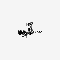 CCNCCCNc1cc(OC)ccc1CNc1cc(F)c(S(=O)(=O)Nc2ncon2)cc1F